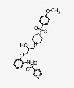 COc1ccc(S(=O)(=O)N2CCN(CC(O)COc3ccccc3NS(=O)(=O)c3ccsc3)CC2)cc1